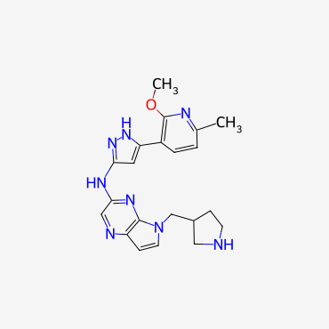 COc1nc(C)ccc1-c1cc(Nc2cnc3ccn(CC4CCNC4)c3n2)n[nH]1